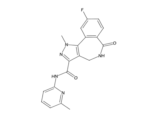 Cc1cccc(NC(=O)c2nn(C)c3c2CNC(=O)c2ccc(F)cc2-3)n1